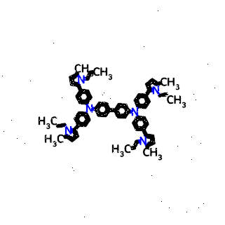 CCCn1c(C)ccc1-c1ccc(N(c2ccc(-c3ccc(N(c4ccc(-c5ccc(C)n5CCC)cc4)c4ccc(-c5ccc(C)n5CCC)cc4)cc3)cc2)c2ccc(-c3ccc(C)n3CCC)cc2)cc1